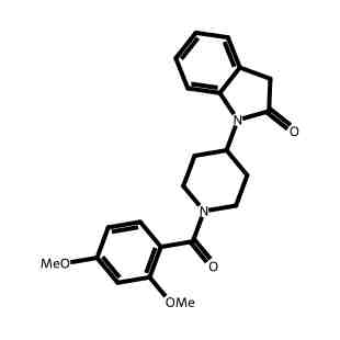 COc1ccc(C(=O)N2CCC(N3C(=O)Cc4ccccc43)CC2)c(OC)c1